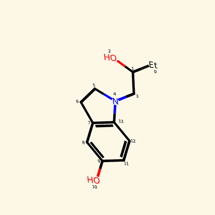 CCC(O)CN1CCc2cc(O)ccc21